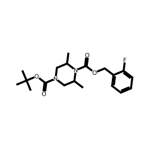 CC1CN(C(=O)OC(C)(C)C)CC(C)N1C(=O)OCc1ccccc1F